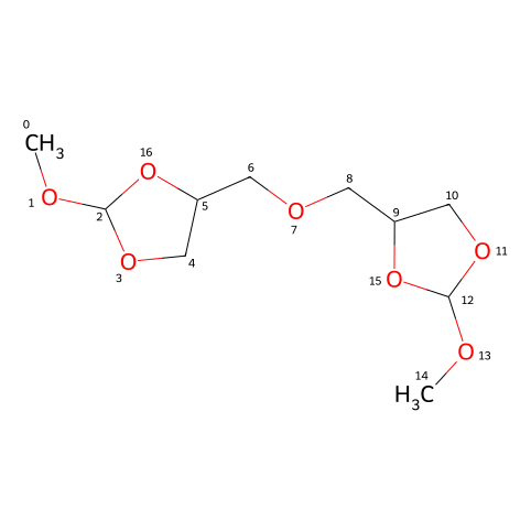 COC1OCC(COCC2COC(OC)O2)O1